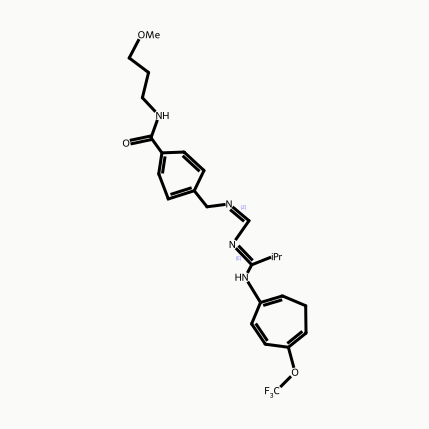 COCCCNC(=O)c1ccc(C/N=C\N=C(\NC2=CCC=C(OC(F)(F)F)C=C2)C(C)C)cc1